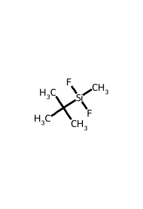 CC(C)(C)[Si](C)(F)F